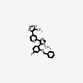 Cn1cnc(-c2cc(-c3nn[nH]c3C(F)(F)F)ccn2)c1-c1ccc(F)cc1OCc1ccccc1